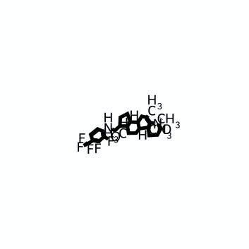 CC1=C2N(C)C(=O)CC[C@]2(C)[C@@H]2CC[C@]3(C)C(C(=O)Nc4ccc(C(F)(F)F)c(F)c4F)CC[C@H]3[C@@H]2C1